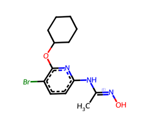 C/C(=N\O)Nc1ccc(Br)c(OC2CCCCC2)n1